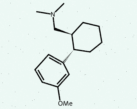 COc1cccc([C@H]2CCCC[C@@H]2CN(C)C)c1